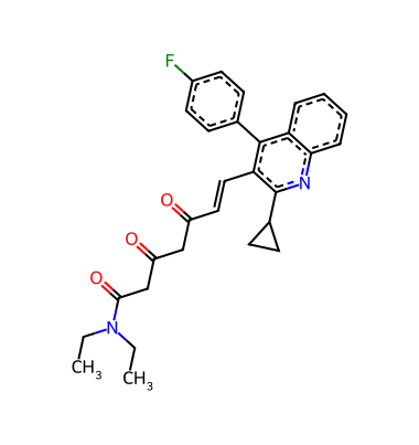 CCN(CC)C(=O)CC(=O)CC(=O)/C=C/c1c(C2CC2)nc2ccccc2c1-c1ccc(F)cc1